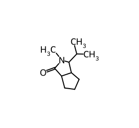 CC(C)C1C2CCCC2C(=O)N1C